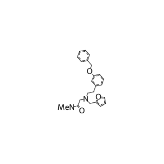 CNC(=O)CN(CCc1cccc(OCc2ccccc2)c1)Cc1ccco1